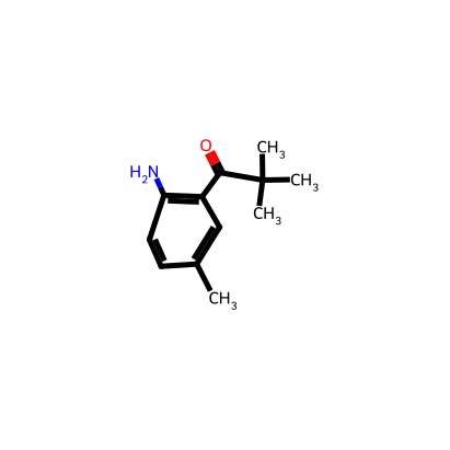 Cc1ccc(N)c(C(=O)C(C)(C)C)c1